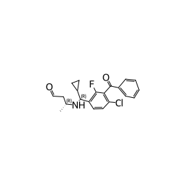 C[C@H](CC=O)N[C@@H](c1ccc(Cl)c(C(=O)c2ccccc2)c1F)C1CC1